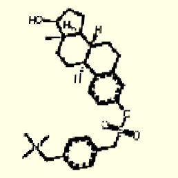 C[C@]12CC[C@@H]3c4ccc(OS(=O)(=O)Cc5ccc(C[N+](C)(C)C)cc5)cc4CC[C@H]3[C@@H]1CC[C@@H]2O